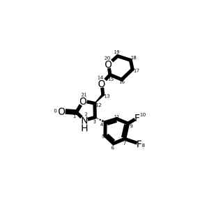 O=C1N[C@@H](c2ccc(F)c(F)c2)[C@H](COC2CCCCO2)O1